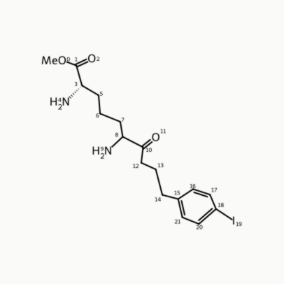 COC(=O)[C@@H](N)CCCC(N)C(=O)CCCc1ccc(I)cc1